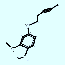 CC#CCCOc1ccc(OC)c(OC)c1